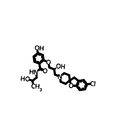 CC(O)CNC(=O)c1ccc(O)cc1OC[C@@H](O)CN1CCC2(CC1)Cc1cc(Cl)ccc1O2